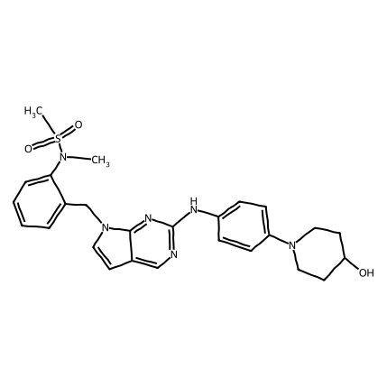 CN(c1ccccc1Cn1ccc2cnc(Nc3ccc(N4CCC(O)CC4)cc3)nc21)S(C)(=O)=O